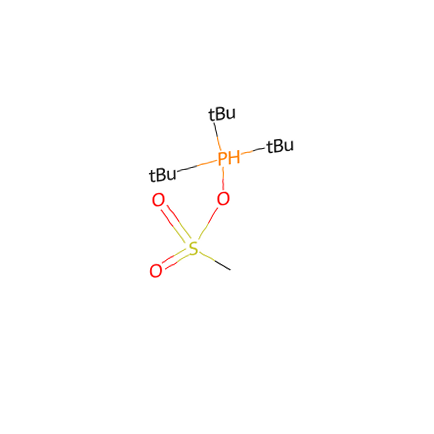 CC(C)(C)[PH](OS(C)(=O)=O)(C(C)(C)C)C(C)(C)C